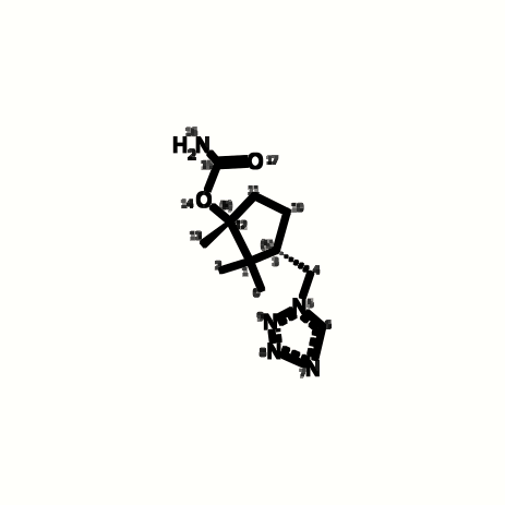 CC1(C)[C@@H](Cn2cnnn2)CC[C@@]1(C)OC(N)=O